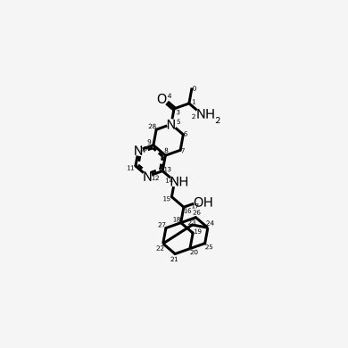 CC(N)C(=O)N1CCc2c(ncnc2NCC(O)C23CC4CC(CC(C4)C2)C3)C1